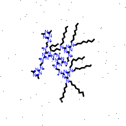 CCCCCCCCN(CCCCCCCC)c1nc(N(C)CCN(C)c2nc(N(C)CCN(C)c3nc(N(CCCCCCCC)CCCCCCCC)nc(N(CCCCCCCC)CCCCCCCC)n3)nc(N(C)CN(C)c3nc(N(C)CCN(C)c4nc(C)nc(C)n4)nc(N(C)CCN(C)c4nc(C)nc(C)n4)n3)n2)nc(N(CCCCCCCC)CCCCCCCC)n1